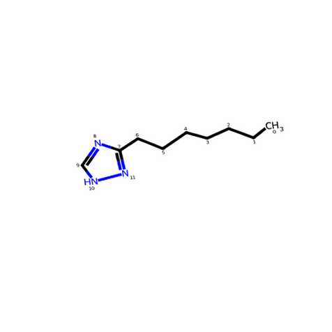 CCCCCCCc1nc[nH]n1